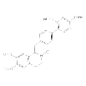 COc1ncc(-c2ccc(CC3c4cc(OC)c(OC)cc4CCN3Cl)cc2)c(OC)n1